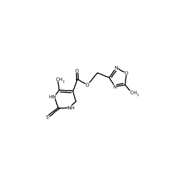 CC1=C(C(=O)OCc2noc(C)n2)CNC(=S)N1